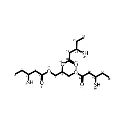 CCC(S)CC(=O)OCC(COC(=O)CC(S)CC)OC(=O)CC(S)CC